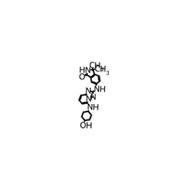 CC1(C)NC(=O)c2cc(Nc3nc4cccc(N[C@H]5CC[C@H](O)CC5)n4n3)ccc21